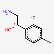 Cl.NC[C@@H](O)c1ccc(F)cc1